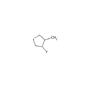 [CH2]C1CCCC1F